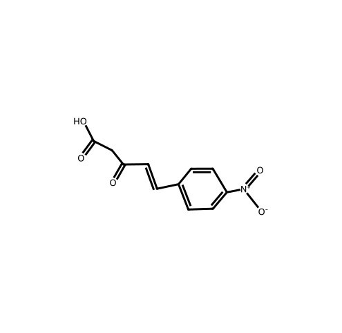 O=C(O)CC(=O)C=Cc1ccc([N+](=O)[O-])cc1